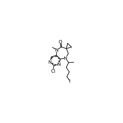 CC(CCCI)N1CC2(CC2)C(=O)N(C)c2cnc(Cl)nc21